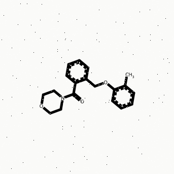 Cc1ccccc1OCc1ccccc1C(=O)N1CCOCC1